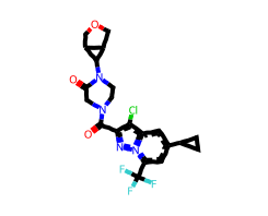 O=C(c1nn2c(C(F)(F)F)cc(C3CC3)cc2c1Cl)N1CCN(C2C3COCC32)C(=O)C1